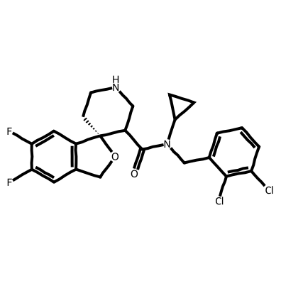 O=C(C1CNCC[C@@]12OCc1cc(F)c(F)cc12)N(Cc1cccc(Cl)c1Cl)C1CC1